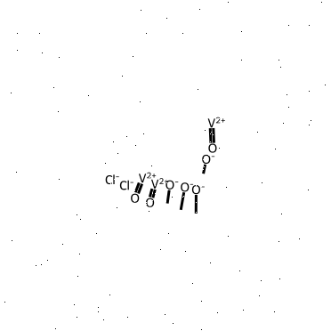 C[O-].C[O-].C[O-].C[O-].[Cl-].[Cl-].[O]=[V+2].[O]=[V+2].[O]=[V+2]